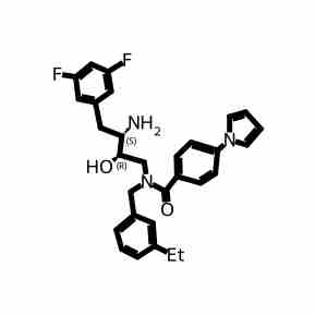 CCc1cccc(CN(C[C@@H](O)[C@@H](N)Cc2cc(F)cc(F)c2)C(=O)c2ccc(-n3cccc3)cc2)c1